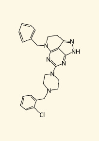 Clc1ccccc1CN1CCN(c2nc3c4c(n[nH]c4n2)CCN3Cc2ccccc2)CC1